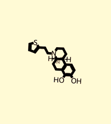 Oc1ccc2c(c1O)CC[C@H]1[C@H]2CCCN1CCc1cccs1